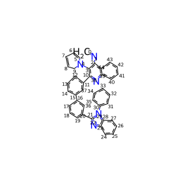 C=Nc1c(N2C=CC=CC2)c(-c2cccc(-c3cccc(-c4nc5ccccc5n4-c4ccccc4)c3)c2)nc2ccccc12